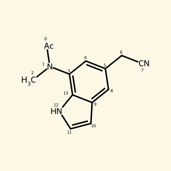 CC(=O)N(C)c1cc(CC#N)cc2cc[nH]c12